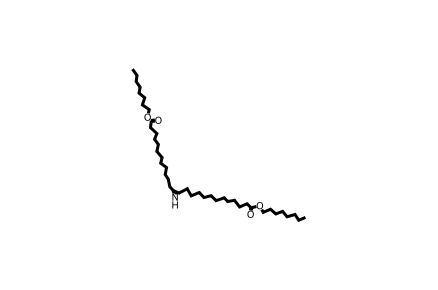 CCCCCCCCOC(=O)CCCCCCCCCCCC1=C(CCCCCCCCCCCC(=O)OCCCCCCCC)N1